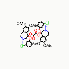 COc1cc2c(cc1OC)C(OC(=O)C(=O)OC1(Oc3cccc(Cl)c3)CNCCc3cc(OC)c(OC)cc31)(Oc1cccc(Cl)c1)CNCC2